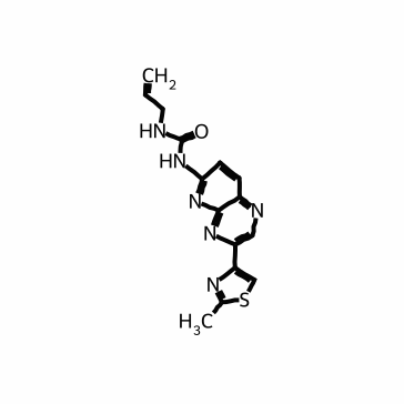 C=CCNC(=O)Nc1ccc2ncc(-c3csc(C)n3)nc2n1